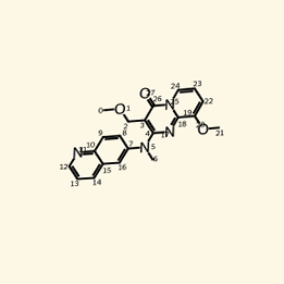 COCc1c(N(C)c2ccc3ncccc3c2)nc2c(OC)cccn2c1=O